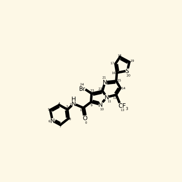 O=C(Nc1ccncc1)c1nn2c(C(F)(F)F)cc(-c3cccs3)nc2c1Br